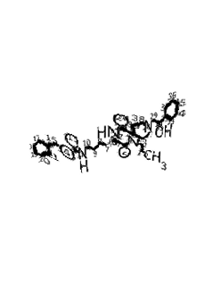 CCCN1C(=O)[C@H](CCCCNC(=O)OCc2ccccc2)NC(=O)C12CCN(CC(O)c1ccccc1)CC2